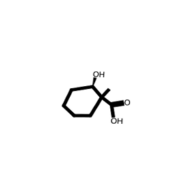 CC1(C(=O)O)CCCC[C@H]1O